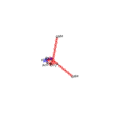 COCCOCCOCCOCCOCCOCCOCCOCCOCCCCOCCOCCOc1ccc(C[C@@H](C(=O)N[C@H](C(=O)N[C@@H](C)C(=O)Nc2ccc(COC(C)=O)c(CC[C@@H]3O[C@H](C(=O)O)[C@@H](O)[C@H](O)[C@H]3O)c2)C(C)C)N2C(=O)C=CC2=O)cc1OCCOCCOCCOCCOCCOCCOCCOCCOCCOCCOCCOC